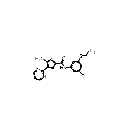 CCSc1cc(Cl)cc(NC(=O)c2cc(-c3ncccn3)c(C)s2)c1